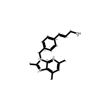 Cc1cc(C)c2nc(C)n(Cc3ccc(C=CCO)cc3)c2n1